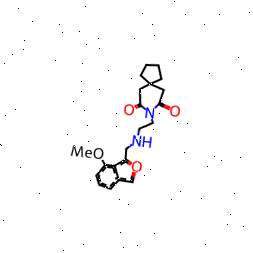 COc1cccc2coc(CNCCN3C(=O)CC4(CCCC4)CC3=O)c12